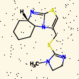 CN1CCN=C1SCC1=CSC2=N[C@H]3CCCCC3N12